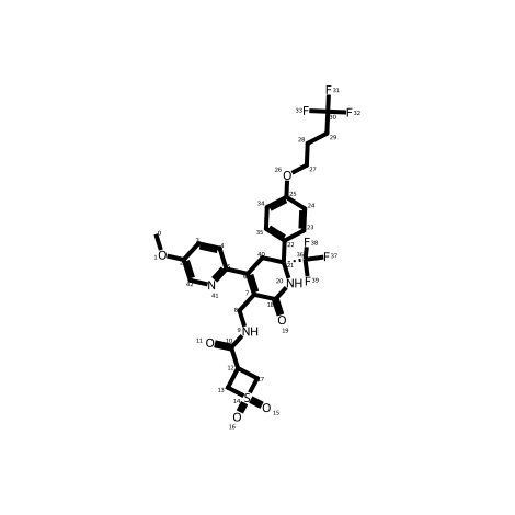 COc1ccc(C2=C(CNC(=O)C3CS(=O)(=O)C3)C(=O)N[C@@](c3ccc(OCCCC(F)(F)F)cc3)(C(F)(F)F)C2)nc1